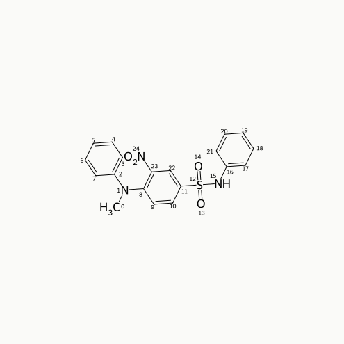 CN(c1ccccc1)c1ccc(S(=O)(=O)Nc2ccccc2)cc1[N+](=O)[O-]